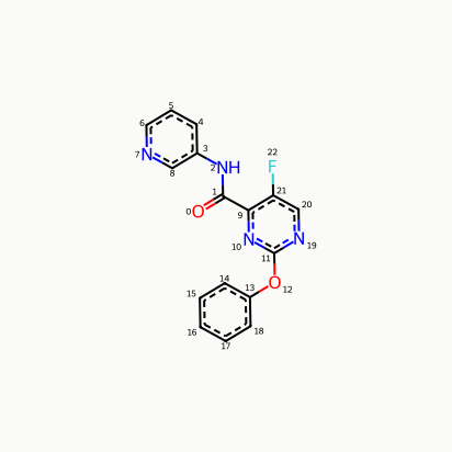 O=C(Nc1cccnc1)c1nc(Oc2ccccc2)ncc1F